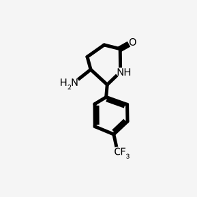 NC1CCC(=O)NC1c1ccc(C(F)(F)F)cc1